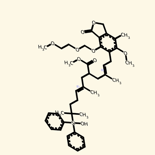 COCCOCOc1c(C/C=C(\C)CC(C/C(C)=C/CCC(C)(C)[Si](O)(c2ccccc2)c2ccccc2)C(=O)OC)c(OC)c(C)c2c1C(=O)OC2